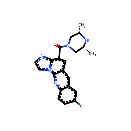 C[C@@H]1CN(C(=O)c2cc3cc4cc(Cl)ccc4nc3n3ccnc23)C[C@H](C)N1